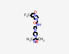 Cc1noc(C)c1N1CCC(N2CCC(NC(=O)CN3CCn4c(cc(C(F)(F)F)cc4=O)C3)C2)CC1